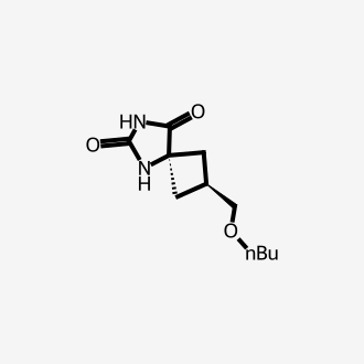 CCCCOC[C@H]1C[C@]2(C1)NC(=O)NC2=O